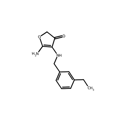 CCc1cccc(CNC2=C(N)OCC2=O)c1